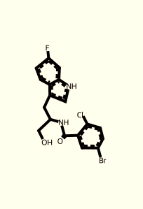 O=C(NC(CO)Cc1c[nH]c2cc(F)ccc12)c1cc(Br)ccc1Cl